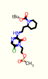 CS(=O)OCCn1c(Cl)cnc(NCCC2CCCCN2C(=O)OC(C)(C)C)c1=O